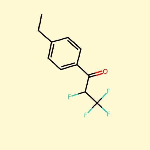 CCc1ccc(C(=O)C(F)C(F)(F)F)cc1